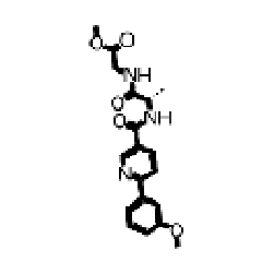 COC(=O)CNC(=O)[C@H](C)NC(=O)c1ccc(-c2cccc(OC)c2)nc1